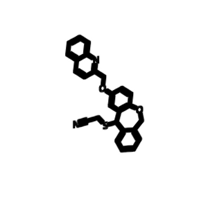 N#CCSC1c2ccccc2COc2ccc(OCc3ccc4ccccc4n3)cc21